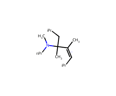 CCCN(C)C(C)(CC(C)C)/C(C)=C\C(C)C